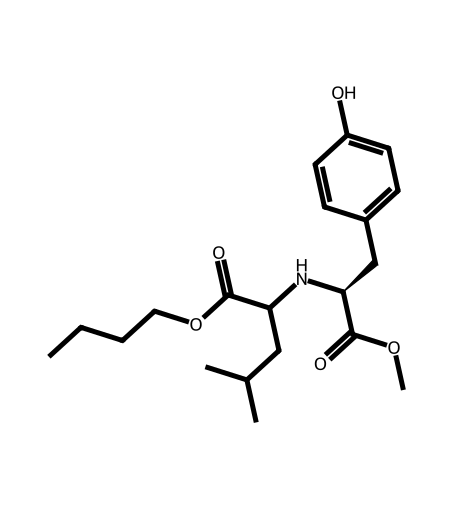 CCCCOC(=O)C(CC(C)C)N[C@@H](Cc1ccc(O)cc1)C(=O)OC